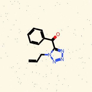 C=CCn1nnnc1C(=O)c1ccccc1